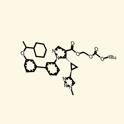 CC(Oc1cccc(-c2cccc(-n3ncc(C(=O)OCOC(=O)OC(C)(C)C)c3[C@@H]3C[C@H]3c3cn(C)nn3)c2)c1)C1CCCCC1